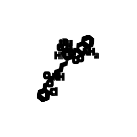 CC(C)(C)OC(=O)N[C@@H](CCCCNC(=O)OCc1ccccc1Cl)C(=O)N[C@@H](Cc1ccccc1)C(N)=O